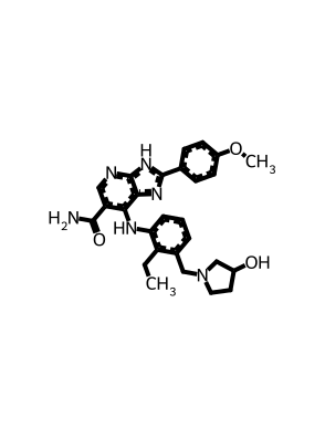 CCc1c(CN2CCC(O)C2)cccc1Nc1c(C(N)=O)cnc2[nH]c(-c3ccc(OC)cc3)nc12